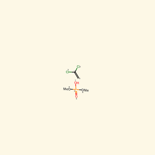 C=C(Cl)Cl.COP(=O)(O)OC